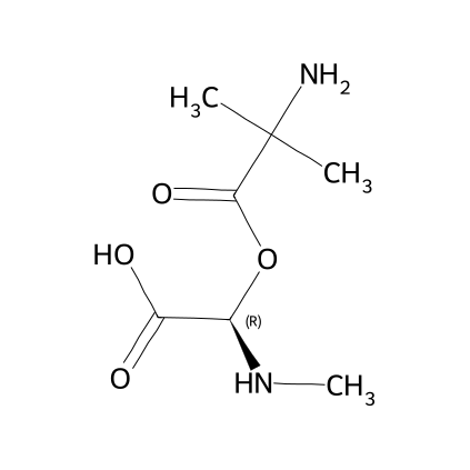 CN[C@H](OC(=O)C(C)(C)N)C(=O)O